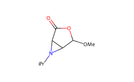 COC1OC(=O)C2C1N2C(C)C